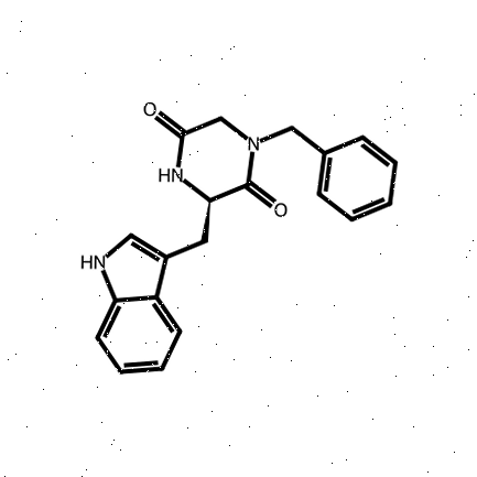 O=C1CN(Cc2ccccc2)C(=O)[C@@H](Cc2c[nH]c3ccccc23)N1